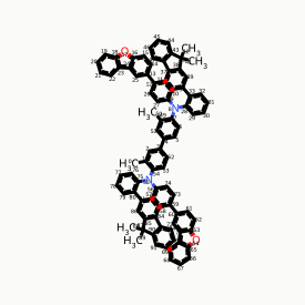 Cc1cc(-c2ccc(N(c3ccc(-c4ccc5oc6ccccc6c5c4)cc3)c3ccccc3-c3ccc4c(c3)C(C)(C)c3ccccc3-4)c(C)c2)ccc1N(c1ccc(-c2ccc3oc4ccccc4c3c2)cc1)c1ccccc1-c1ccc2c(c1)C(C)(C)c1ccccc1-2